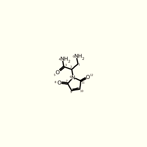 NCC(C(N)=O)N1C(=O)C=CC1=O